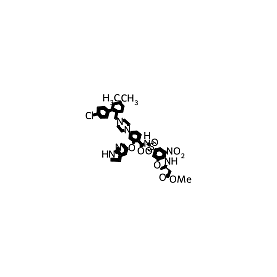 COC(=O)C[C@H]1COc2cc(S(=O)(=O)NC(=O)c3ccc(N4CCN(CC5=C(c6ccc(Cl)cc6)CC(C)(C)CC5)CC4)cc3Oc3cnc4[nH]ccc4c3)cc([N+](=O)[O-])c2N1